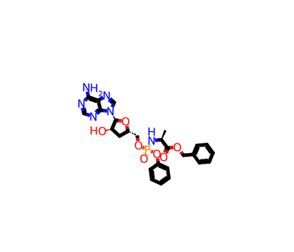 C[C@H](NP(=O)(OC[C@@H]1C[C@H](O)[C@H](n2cnc3c(N)ncnc32)O1)Oc1ccccc1)C(=O)OCc1ccccc1